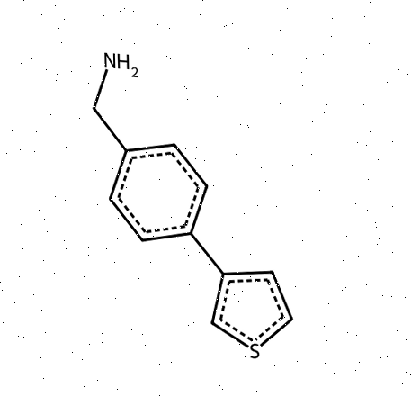 NCc1ccc(-c2ccsc2)cc1